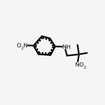 CC(C)(CNc1ccc([N+](=O)[O-])cc1)[N+](=O)[O-]